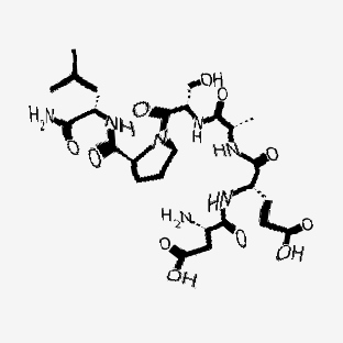 CC(C)C[C@H](NC(=O)[C@@H]1CCCN1C(=O)[C@H](CO)NC(=O)[C@H](C)NC(=O)[C@H](CCC(=O)O)NC(=O)[C@@H](N)CC(=O)O)C(N)=O